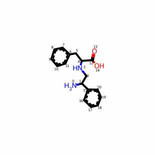 NC(CNC(Cc1ccccc1)C(=O)O)c1ccccc1